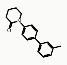 Cc1cccc(-c2ccc(N3CCCCC3=O)cc2)c1